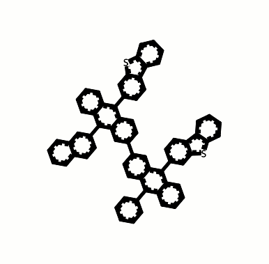 c1ccc(-c2c3ccccc3c(-c3ccc4c(c3)sc3ccccc34)c3cc(-c4ccc5c(-c6ccc7c(c6)sc6ccccc67)c6ccccc6c(-c6ccc7ccccc7c6)c5c4)ccc23)cc1